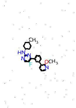 COc1ncccc1-c1cccc(-c2nc(N[C@H]3CC[C@H](C)CC3)ncc2F)c1